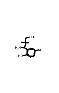 CC(C)(CO)C(N)c1cc(N)ccc1O